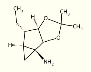 CC[C@@H]1[C@H]2OC(C)(C)OC2[C@]2(N)C[C@@H]12